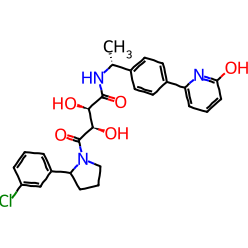 C[C@@H](NC(=O)[C@H](O)[C@@H](O)C(=O)N1CCCC1c1cccc(Cl)c1)c1ccc(-c2cccc(O)n2)cc1